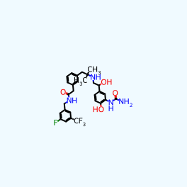 CC(C)(Cc1cccc(CC(=O)NCc2cc(F)cc(C(F)(F)F)c2)c1)NCC(O)c1ccc(O)c(NC(N)=O)c1